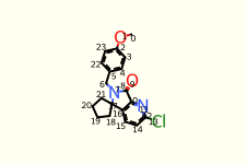 COc1ccc(CN2C(=O)c3nc(Cl)ccc3C23CCCC3)cc1